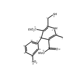 CCOC(=O)C1=C(CS)NC(C)=C(C(=O)OC)C1c1cccc([N+](=O)[O-])c1